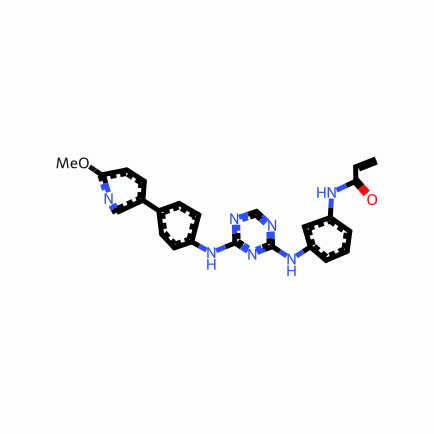 C=CC(=O)Nc1cccc(Nc2ncnc(Nc3ccc(-c4ccc(OC)nc4)cc3)n2)c1